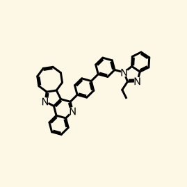 CCc1nc2ccccc2n1-c1cccc(-c2ccc(-c3nc4ccccc4c4c3C3CC/C=C\C=C/C3=N4)cc2)c1